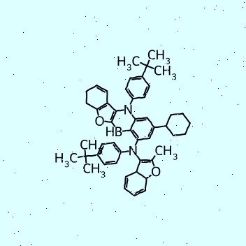 CC1=C(N(c2ccc(C(C)(C)C)cc2)c2cc(C3CCCCC3)cc3c2Bc2oc4c(c2N3c2ccc(C(C)(C)C)cc2)C=CCC4)C2C=CC=CC2O1